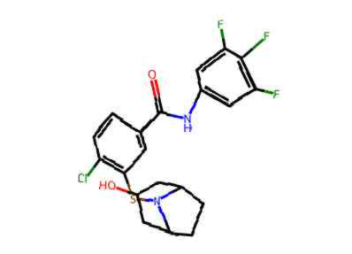 O=C(Nc1cc(F)c(F)c(F)c1)c1ccc(Cl)c(SN2C3CCC2CC(O)C3)c1